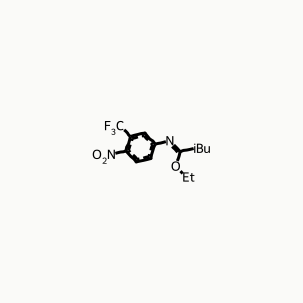 CCOC(=Nc1ccc([N+](=O)[O-])c(C(F)(F)F)c1)C(C)CC